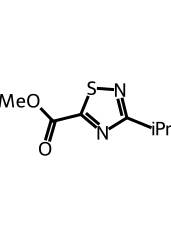 COC(=O)c1nc(C(C)C)ns1